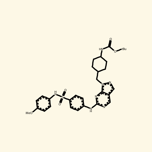 COc1ccc(NS(=O)(=O)c2ccc(Nc3ncc4cnn(CC5CCC(NC(=O)OC(C)(C)C)CC5)c4n3)cc2)cc1